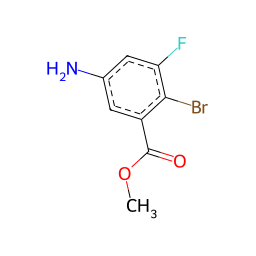 COC(=O)c1cc(N)cc(F)c1Br